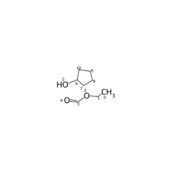 CCOC=O.OC1CCCC1